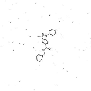 Cc1nn(-c2ccccc2)c2sc(C(=O)NCc3ccccc3)cc12